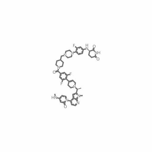 CNc1ccn(-c2ccnc3c2cc([C@H](C)N2CC=C(c4c(F)cc(C(=O)N5CCC(CN6CCN(c7ccc(N[C@@H]8CCC(=O)NC8=O)cc7F)CC6)CC5)cc4F)CC2)n3C)c(=O)c1